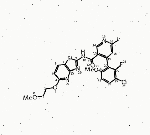 COCCOc1ccc2sc(NC(=O)c3cnc(C)cc3-c3c(OC)ccc(Cl)c3F)nc2n1